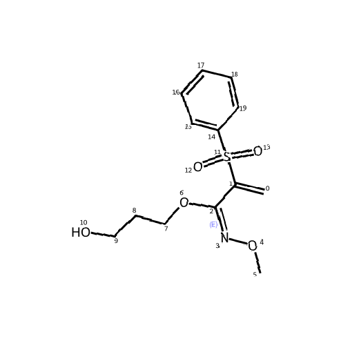 C=C(/C(=N\OC)OCCCO)S(=O)(=O)c1ccccc1